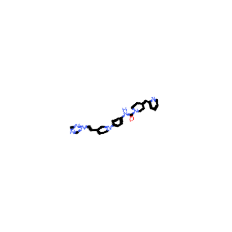 O=C(Nc1ccc(N2CCC(CCn3cncn3)C2)cc1)N1CCC(=Cc2ccccn2)CC1